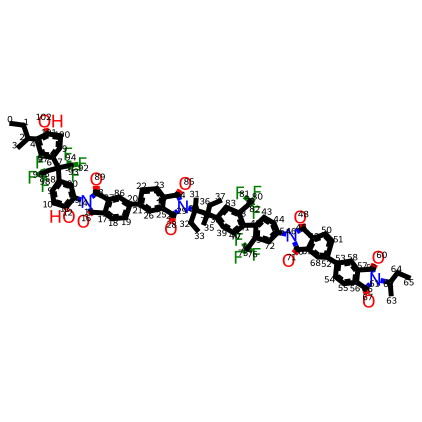 CCC(C)c1cc(C(c2ccc(O)c(N3C(=O)c4ccc(-c5ccc6c(c5)C(=O)N(C(C)(CC)C(C)(CC)c5ccc(-c7ccc(N8C(=O)c9ccc(-c%10ccc%11c(c%10)C(=O)N(C(C)CC)C%11=O)cc9C8=O)cc7C(F)(F)F)c(C(F)(F)F)c5)C6=O)cc4C3=O)c2)(C(F)(F)F)C(F)(F)F)ccc1O